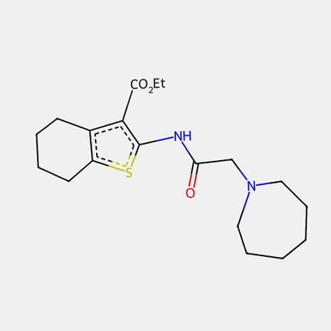 CCOC(=O)c1c(NC(=O)CN2CCCCCC2)sc2c1CCCC2